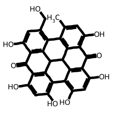 Cc1cc(O)c2c3c1-c1c(CO)cc(O)c4c1C1c5c(c(O)cc(O)c5-c5c(O)cc(O)c(c5C31)C2=O)C4=O